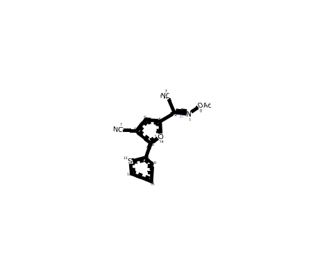 CC(=O)O/N=C(\C#N)c1cc(C#N)c(-c2cccs2)o1